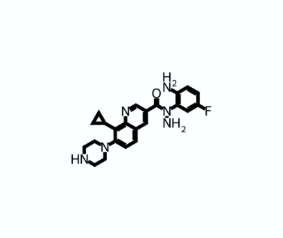 Nc1ccc(F)cc1N(N)C(=O)c1cnc2c(C3CC3)c(N3CCNCC3)ccc2c1